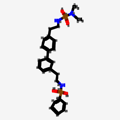 CN(C)S(=O)(=O)NCCc1ccc(-c2[c]ccc(CCNS(=O)(=O)c3ccccc3)c2)cc1